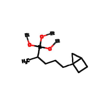 CCO[Si](OCC)(OCC)C(C)CCCC12CCC1C2